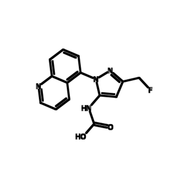 O=C(O)Nc1cc(CF)nn1-c1cccc2ncccc12